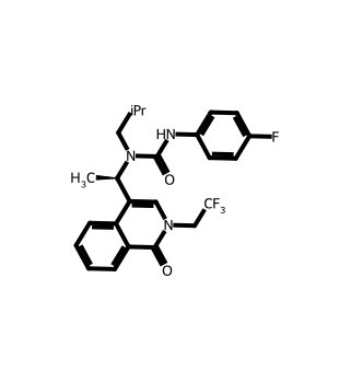 CC(C)CN(C(=O)Nc1ccc(F)cc1)[C@H](C)c1cn(CC(F)(F)F)c(=O)c2ccccc12